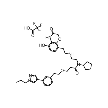 CCCn1cc(-c2cccc(CCOCCC(=O)N(CCNCCc3ccc(O)c4c3OCC(=O)N4)C3CCCC3)c2)cn1.O=C(O)C(F)(F)F